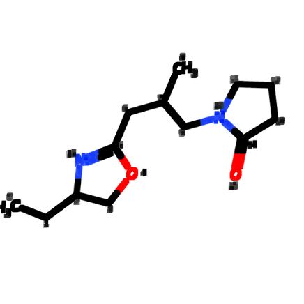 CCC1COC(CC(C)CN2CCCC2=O)=N1